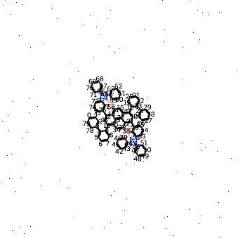 c1ccc(-c2ccccc2-c2cc3c4c(cc5c(-c6ccccc6-c6ccccc6)cc6c7c(cc2c4c57)B2c4ccccc4N(c4ccccc4)c4cccc-6c42)B2c4ccccc4N(c4ccccc4)c4cccc-3c42)cc1